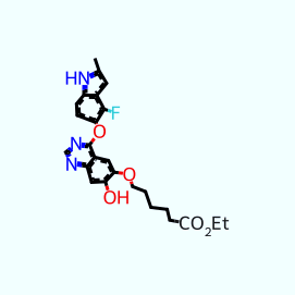 CCOC(=O)CCCCCOc1cc2c(Oc3ccc4[nH]c(C)cc4c3F)ncnc2cc1O